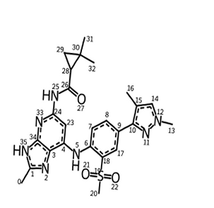 Cc1nc2c(Nc3ccc(-c4nn(C)cc4C)cc3S(C)(=O)=O)cc(NC(=O)C3CC3(C)C)nc2[nH]1